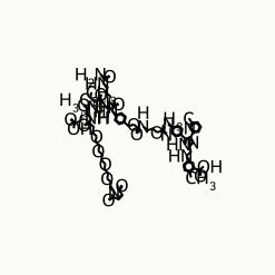 Cc1cccc(-c2nc(CNc3ccc(C)c(C(=O)O)c3)[nH]c2-c2ccc3ncc(OCCNC(=O)OCc4ccc(NC(=O)[C@H](CCCNC(N)=O)NC(=O)[C@@H](NC(=O)[C@H](CCC(=O)O)NC(=O)CCOCCOCCOCCOCCN5C(=O)C=CC5=O)C(C)C)cc4)nc3c2)n1